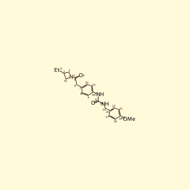 CCC1CN(C(=O)Cc2ccc(NC(=O)NCc3ccc(OC)cc3)cc2)C1